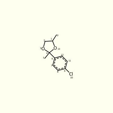 CC1COC(C)(c2ccc(Cl)cc2)O1